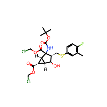 Cc1cc(SC[C@@H]2[C@@H](O)[C@H]3[C@H](C(=O)OCCl)[C@H]3[C@]2(NC(=O)OC(C)(C)C)C(=O)OCCl)ccc1F